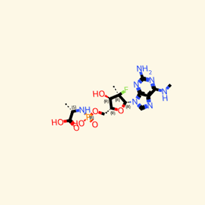 CNc1nc(N)nc2c1ncn2[C@@H]1O[C@H](CO[P@](=O)(O)N[C@@H](C)C(=O)O)[C@@H](O)[C@@]1(C)F